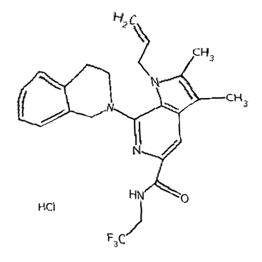 C=CCn1c(C)c(C)c2cc(C(=O)NCC(F)(F)F)nc(N3CCc4ccccc4C3)c21.Cl